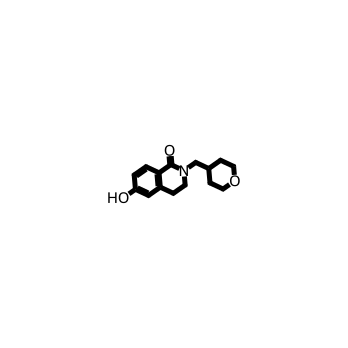 O=C1c2ccc(O)cc2CCN1CC1CCOCC1